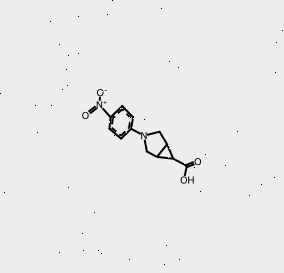 O=C(O)C1C2CN(c3ccc([N+](=O)[O-])cc3)CC21